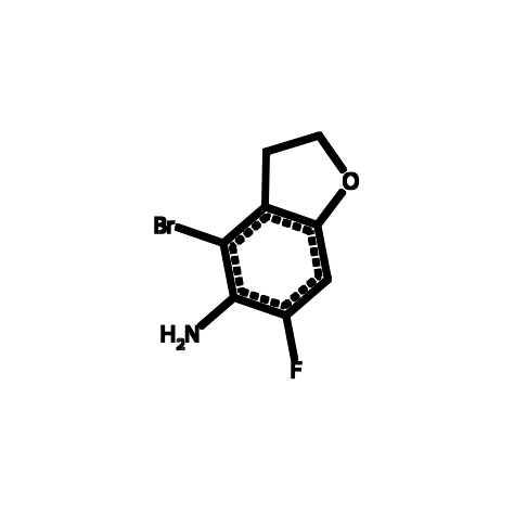 Nc1c(F)cc2c(c1Br)CCO2